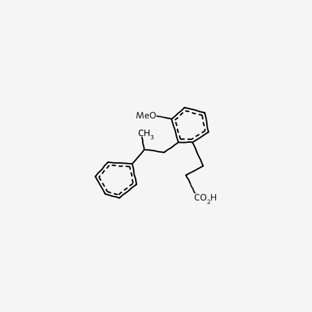 COc1cccc(CCC(=O)O)c1CC(C)c1ccccc1